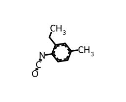 CCc1cc(C)ccc1N=C=O